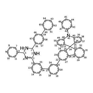 NC(N/C(=N\Cc1ccccc1)c1cccc(-c2cccc(-c3ccc4c(c3)-c3ccccc3C43c4ccccc4N(c4ccccc4)c4ccccc43)c2)c1)c1ccc(-c2ccccc2)cc1